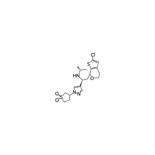 C[C@H]1C[C@@]2(C[C@@H](c3cnn(C4CCS(=O)(=O)C4)c3)N1)OCCc1cc(Cl)sc12